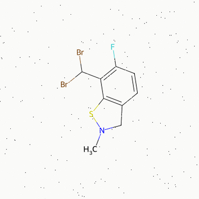 CN1Cc2ccc(F)c(C(Br)Br)c2S1